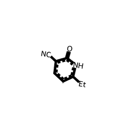 CCc1[c]cc(C#N)c(=O)[nH]1